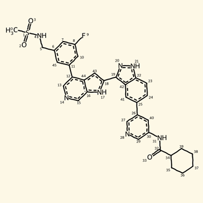 CS(=O)(=O)NCc1cc(F)cc(-c2cncc3[nH]c(-c4n[nH]c5ccc(-c6cncc(NC(=O)C7CCCCC7)c6)cc45)cc23)c1